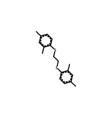 Cc1ccc(SCCSc2ccc(C)cc2C)c(C)c1